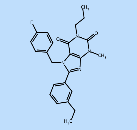 CCCn1c(=O)c2c(nc(-c3cccc(CC)c3)n2Cc2ccc(F)cc2)n(C)c1=O